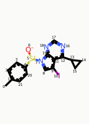 Cc1ccc([S+]([O-])n2cc(I)c3c(C4CC4)ncnc32)cc1